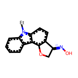 CCn1c2ccccc2c2c3c(ccc21)/C(=N/O)CO3